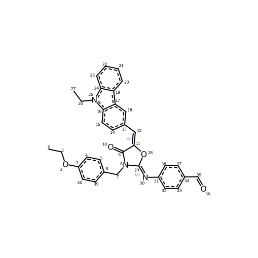 CCOc1ccc(CN2C(=O)/C(=C\c3ccc4c(c3)c3ccccc3n4CC)O/C2=N\c2ccc(C=O)cc2)cc1